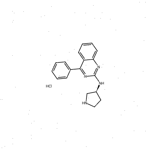 Cl.c1ccc(-c2nc(N[C@H]3CCNC3)nc3ccccc23)cc1